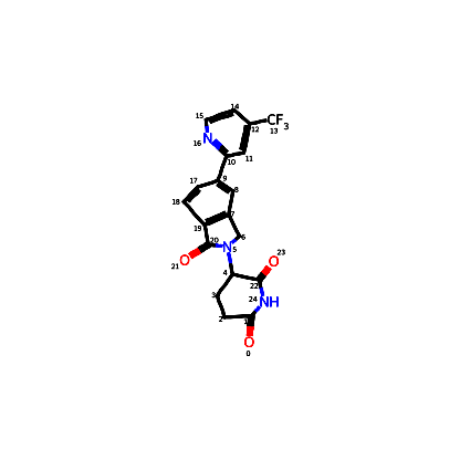 O=C1CCC(N2Cc3cc(-c4cc(C(F)(F)F)ccn4)ccc3C2=O)C(=O)N1